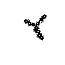 c1ccc2cc(-c3ccc4c(ccc5cc(N(c6ccc(-c7cc8oc9ccccc9c8cn7)cc6)c6ccc(-c7cc8oc9ccccc9c8cn7)cc6)ccc54)c3)ccc2c1